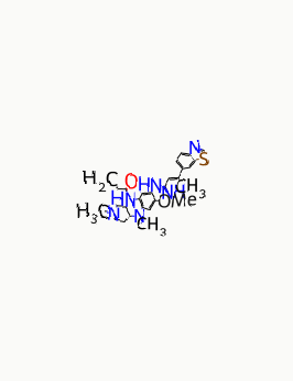 C=CC(=O)Nc1cc(NC(=N)/C=C(\C)c2ccc3ncsc3c2)c(OC)cc1N(C)C1CCN(C)CC1